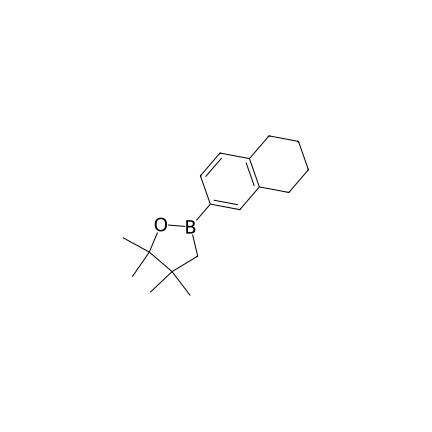 CC1(C)CB(c2ccc3c(c2)CCCC3)OC1(C)C